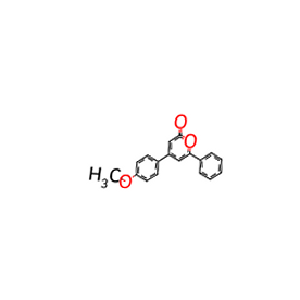 COc1ccc(-c2cc(-c3ccccc3)oc(=O)c2)cc1